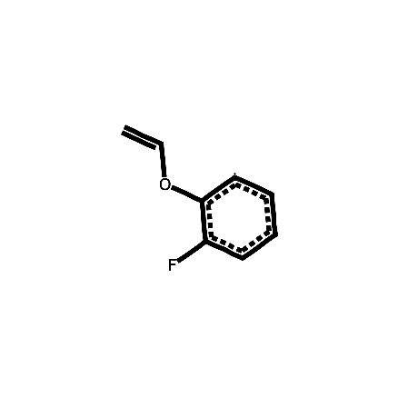 C=COc1[c]cccc1F